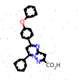 O=C(O)c1cc2nc(-c3ccc(Oc4ccccc4)cc3)cc(-c3ccccc3)n2n1